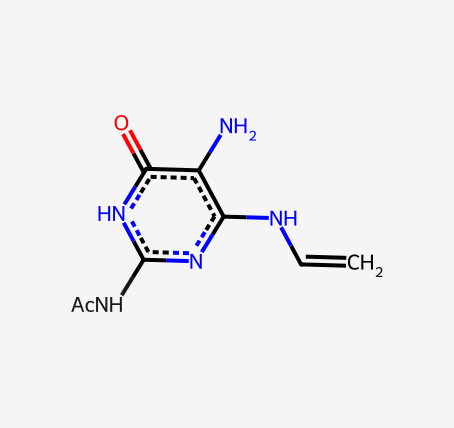 C=CNc1nc(NC(C)=O)[nH]c(=O)c1N